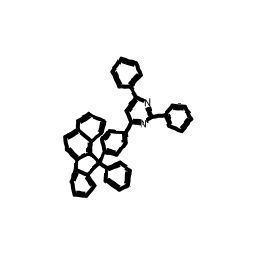 c1ccc(-c2cc(-c3ccc(C4(c5ccccc5)c5ccccc5-c5ccc6ccccc6c54)cc3)nc(-c3ccccc3)n2)cc1